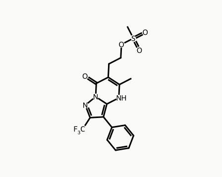 Cc1[nH]c2c(-c3ccccc3)c(C(F)(F)F)nn2c(=O)c1CCOS(C)(=O)=O